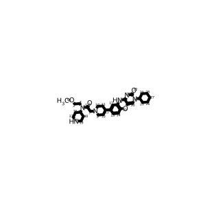 COCCN(C(=O)CN1CCC(c2ccc3c(c2)Nc2nc(=O)n(C4CCCCC4)cc2O3)CC1)C1CCNCC1